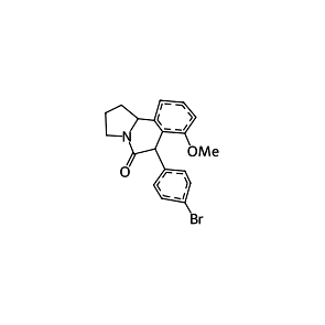 COc1cccc2c1C(c1ccc(Br)cc1)C(=O)N1CCCC21